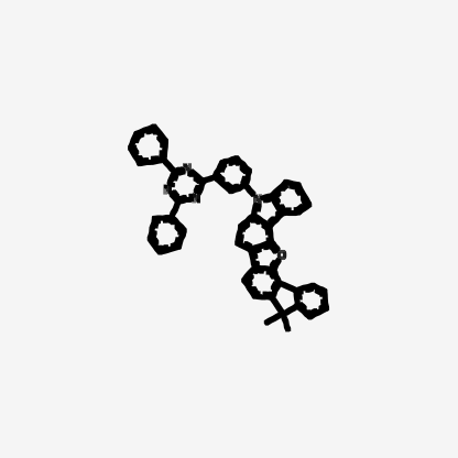 CC1(C)c2ccccc2-c2c1ccc1c2oc2c1ccc1c2c2ccccc2n1-c1cccc(-c2nc(-c3ccccc3)nc(-c3ccccc3)n2)c1